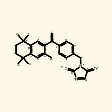 C=C(c1ccc(CN2C(=O)C=NC2=O)cc1)c1cc2c(cc1C)C(C)(C)CCC2(C)C